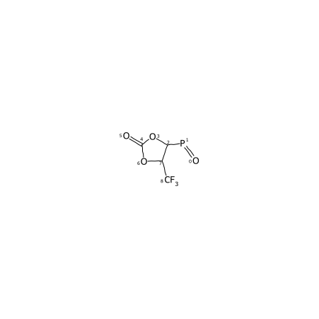 O=PC1OC(=O)OC1C(F)(F)F